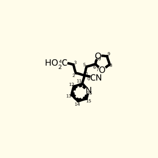 N#CC(CCC(=O)O)(CC1OCCO1)c1ccccn1